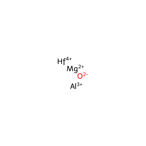 [Al+3].[Hf+4].[Mg+2].[O-2]